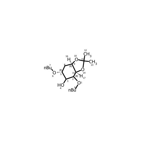 CCCCOC1C(O)[C@H](OCCCC)C[C@H]2OC(C)(C)O[C@@H]12